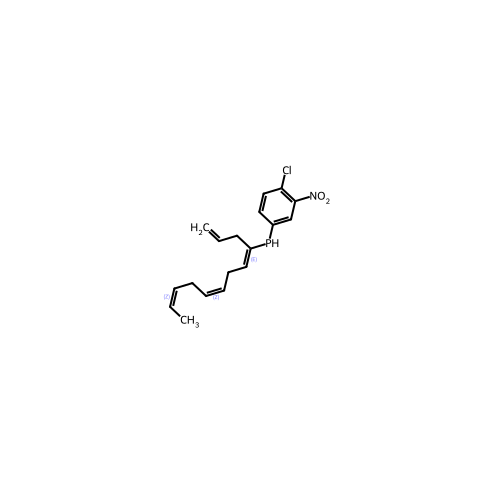 C=CC/C(=C\C/C=C\C/C=C\C)Pc1ccc(Cl)c([N+](=O)[O-])c1